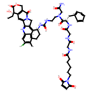 CC[C@@]1(O)C(=O)OCc2c1cc1n(c2=O)Cc2c-1nc1cc(F)c(C)c3c1c2[C@@H](NC(=O)NCCN(CC(N)=O)C(=O)[C@H](Cc1ccccc1)NC(=O)CNC(=O)CNC(=O)CCCCCN1C(=O)C=CC1=O)CC3